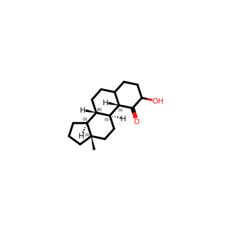 C[C@@]12CCC[C@H]1[C@@H]1CCC3CCC(O)C(=O)[C@@H]3[C@H]1CC2